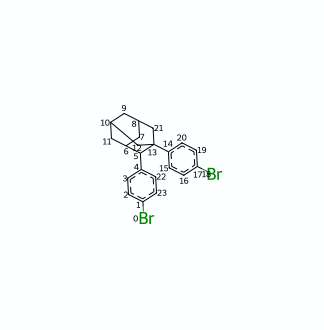 Brc1ccc(C2C3CC4CC(C3)CC2(c2ccc(Br)cc2)C4)cc1